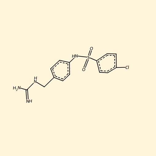 N=C(N)NCc1ccc(NS(=O)(=O)c2ccc(Cl)cc2)cc1